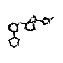 Cn1cc(-c2cnc3c(Nc4cccc(C5CCCNC5)c4)nccn23)cn1